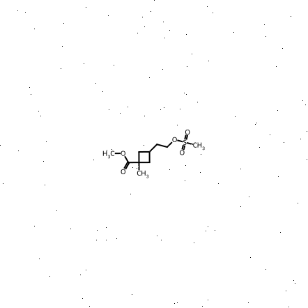 COC(=O)C1(C)CC(CCOS(C)(=O)=O)C1